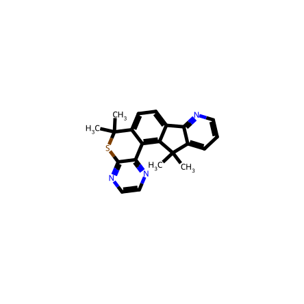 CC1(C)Sc2nccnc2-c2c1ccc1c2C(C)(C)c2cccnc2-1